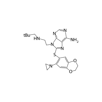 CC(C)(C)CNCCn1c(Sc2cc3c(cc2N2CC2)OCCO3)nc2c(N)ncnc21